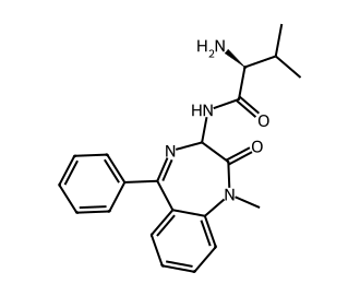 CC(C)[C@H](N)C(=O)NC1N=C(c2ccccc2)c2ccccc2N(C)C1=O